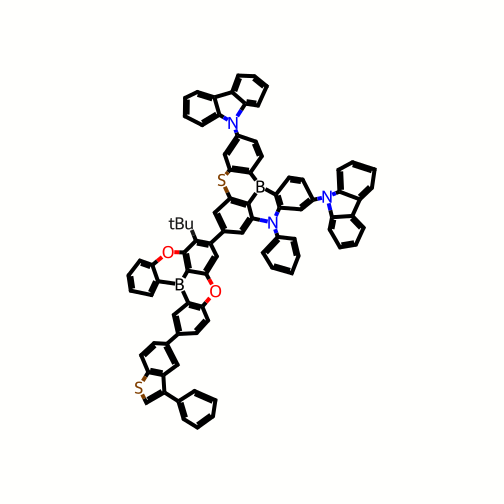 CC(C)(C)c1c(-c2cc3c4c(c2)N(c2ccccc2)c2cc(-n5c6ccccc6c6ccccc65)ccc2B4c2ccc(-n4c5ccccc5c5ccccc54)cc2S3)cc2c3c1Oc1ccccc1B3c1cc(-c3ccc4scc(-c5ccccc5)c4c3)ccc1O2